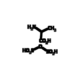 CC(N)C(=O)O.O=S(=O)(O)OS(=O)(=O)O